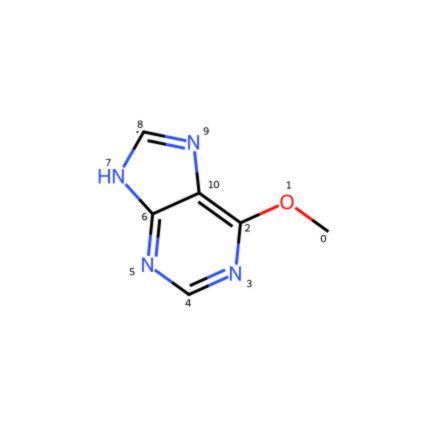 COc1ncnc2[nH][c]nc12